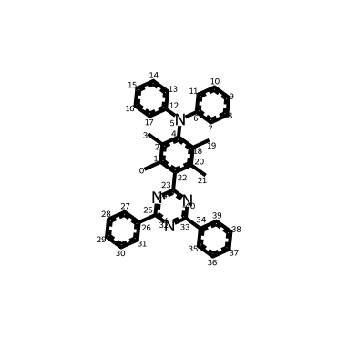 Cc1c(C)c(N(c2ccccc2)c2ccccc2)c(C)c(C)c1-c1nc(-c2ccccc2)nc(-c2ccccc2)n1